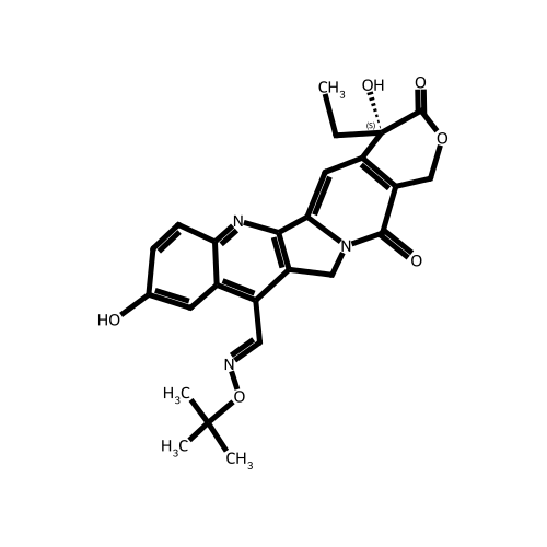 CC[C@@]1(O)C(=O)OCc2c1cc1n(c2=O)Cc2c-1nc1ccc(O)cc1c2C=NOC(C)(C)C